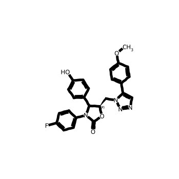 COc1ccc(-c2cnnn2C[C@H]2OC(=O)N(c3ccc(F)cc3)C2c2ccc(O)cc2)cc1